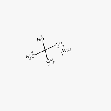 CC(C)(C)O.[NaH]